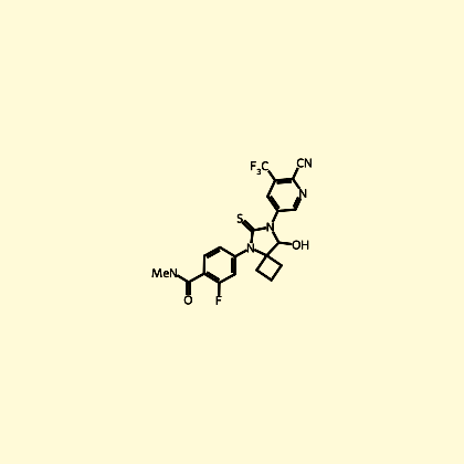 CNC(=O)c1ccc(N2C(=S)N(c3cnc(C#N)c(C(F)(F)F)c3)C(O)C23CCC3)cc1F